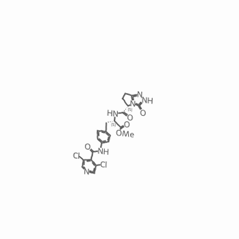 COC(=O)[C@H](Cc1ccc(NC(=O)c2c(Cl)cncc2Cl)cc1)NC(=O)[C@@H]1CCc2n[nH]c(=O)n21